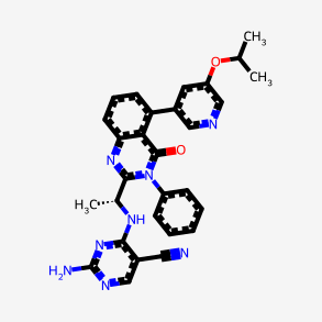 CC(C)Oc1cncc(-c2cccc3nc([C@@H](C)Nc4nc(N)ncc4C#N)n(-c4ccccc4)c(=O)c23)c1